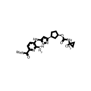 CNC(=O)c1ccc(Nc2cc([C@H]3CC[C@@H](OC(=O)NC4(C)CC4)C3)n[nH]2)c(C)n1